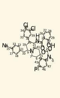 CN1C(=O)OC2(CCN(C(Cc3ccc(C#N)cc3)CC(CNC(=O)c3ccccc3O)c3ccc(Cl)c(Cl)c3)CC2)c2cc(F)ccc21